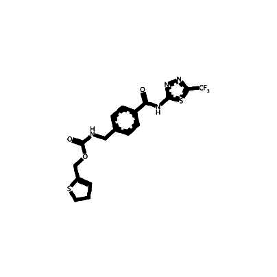 O=C(NCc1ccc(C(=O)Nc2nnc(C(F)(F)F)s2)cc1)OCC1=CCCS1